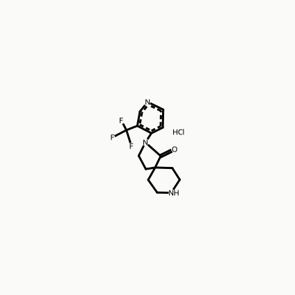 Cl.O=C1N(c2ccncc2C(F)(F)F)CCC12CCNCC2